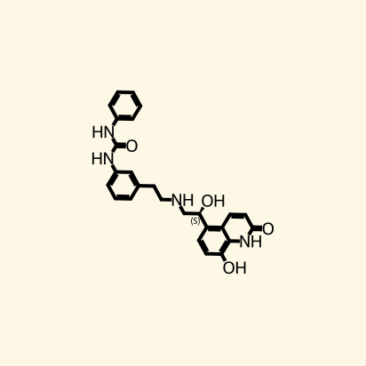 O=C(Nc1ccccc1)Nc1cccc(CCNC[C@@H](O)c2ccc(O)c3[nH]c(=O)ccc23)c1